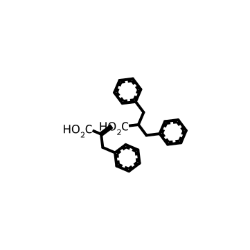 C=C(Cc1ccccc1)C(=O)O.O=C(O)C(Cc1ccccc1)Cc1ccccc1